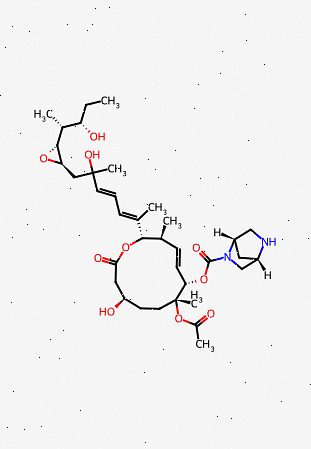 CC[C@H](O)[C@@H](C)[C@H]1O[C@@H]1CC(C)(O)/C=C/C=C(\C)[C@H]1OC(=O)C[C@H](O)CC[C@@](C)(OC(C)=O)[C@@H](OC(=O)N2C[C@@H]3C[C@H]2CN3)/C=C/[C@@H]1C